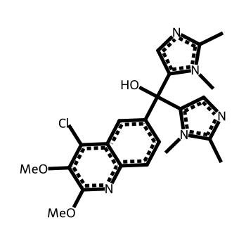 COc1nc2ccc(C(O)(c3cnc(C)n3C)c3cnc(C)n3C)cc2c(Cl)c1OC